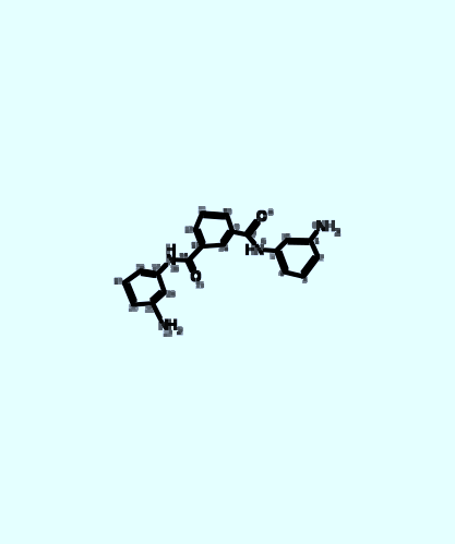 Nc1cccc(NC(=O)c2cccc(C(=O)Nc3cccc(N)c3)c2)c1